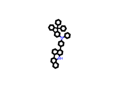 c1ccc(N(c2ccc(-c3ccc4c5c(cccc35)-c3ccc5ccccc5c3N4)cc2)c2ccc3c(c2)C(c2ccccc2)(c2ccccc2)c2ccccc2-3)cc1